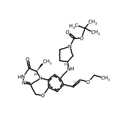 CCO/C=C/c1cc2c(cc1N[C@H]1CCN(C(=O)OC(C)(C)C)C1)N1C(=NNC(=O)[C@H]1C)CO2